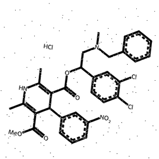 COC(=O)C1=C(C)NC(C)=C(C(=O)OC(CN(C)Cc2ccccc2)c2ccc(Cl)c(Cl)c2)C1c1cccc([N+](=O)[O-])c1.Cl